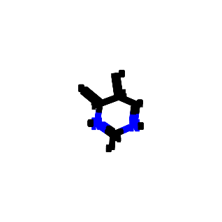 C=c1cnc(C)nc1=C